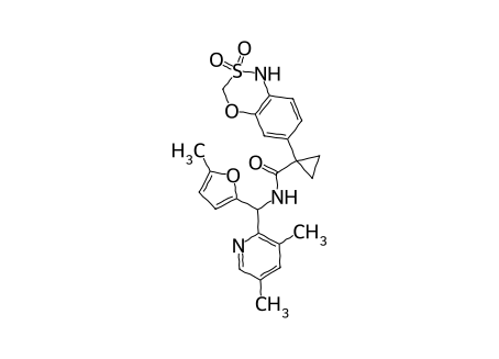 Cc1cnc(C(NC(=O)C2(c3ccc4c(c3)OCS(=O)(=O)N4)CC2)c2ccc(C)o2)c(C)c1